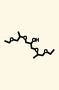 CCOCC(C)OCC(O)COC(C)COCC